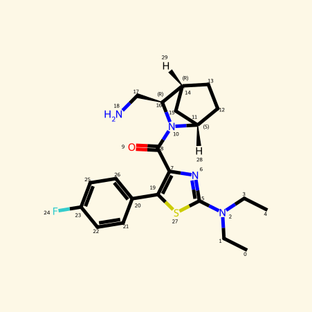 CCN(CC)c1nc(C(=O)N2[C@H]3CC[C@H](C3)[C@@H]2CN)c(-c2ccc(F)cc2)s1